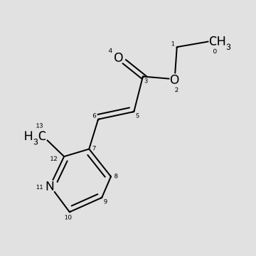 CCOC(=O)/C=C/c1cccnc1C